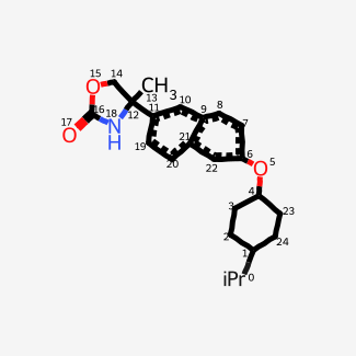 CC(C)C1CCC(Oc2ccc3cc(C4(C)COC(=O)N4)ccc3c2)CC1